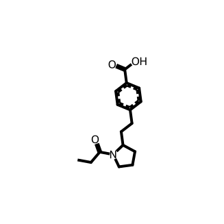 CCC(=O)N1CCCC1CCc1ccc(C(=O)O)cc1